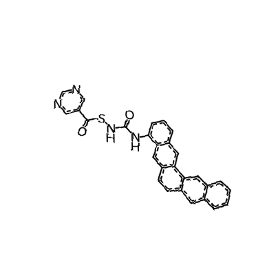 O=C(NSC(=O)c1cncnc1)Nc1cccc2cc3c(ccc4cc5ccccc5cc43)cc12